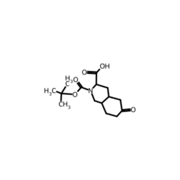 CC(C)(C)OC(=O)N1CC2CCC(=O)CC2CC1C(=O)O